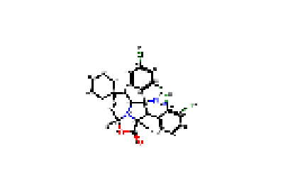 CC1(C[C@@H]2N3[C@@H](C(=O)OC3(C)C)[C@H](c3cccc(Cl)c3F)[C@@]2(N)c2ccc(Cl)cc2F)CCCCC1